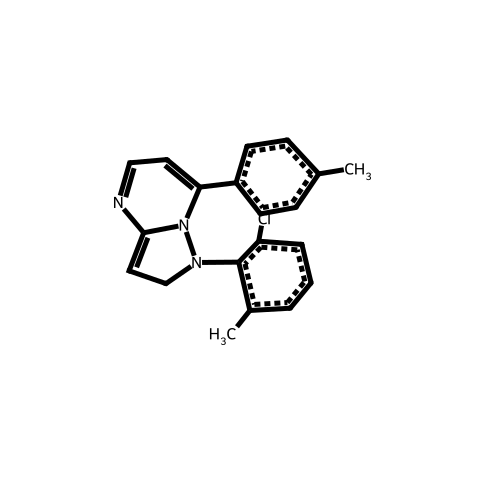 Cc1ccc(C2=CC=NC3=CCN(c4c(C)cccc4Cl)N32)cc1